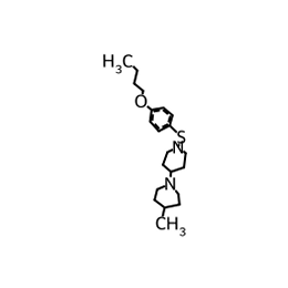 CCCCOc1ccc(SN2CCC(N3CCC(C)CC3)CC2)cc1